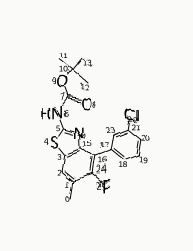 Cc1cc2sc(NC(=O)OC(C)(C)C)nc2c(-c2cccc(Cl)c2)c1F